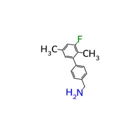 Cc1cc(F)c(C)c(-c2ccc(CN)cc2)c1